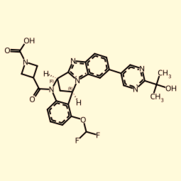 CC(C)(O)c1ncc(-c2ccc3nc4n(c3c2)[C@@H]2C[C@H]4N(C(=O)C3CN(C(=O)O)C3)c3cccc(OC(F)F)c32)cn1